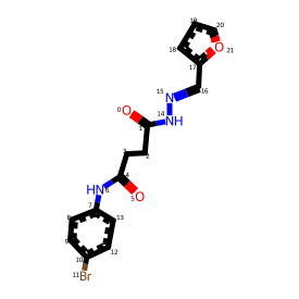 O=C(CCC(=O)Nc1ccc(Br)cc1)N/N=C/c1ccco1